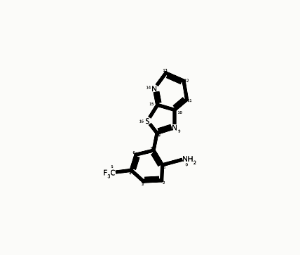 Nc1ccc(C(F)(F)F)cc1-c1nc2cccnc2s1